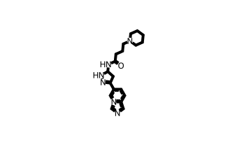 O=C(CCCN1CCCCC1)NC1CC(c2ccc3cncn3c2)=NN1